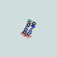 O=c1cc2n(cc1O)CCN(CCn1nc3ccccc3n1)C2.O=c1cc2n(cc1O)CCN(Cc1cccc(OC(F)(F)F)c1)C2